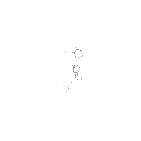 Cl.Clc1ccc(Cn2cc(NCCN3CCCCC3)nn2)cc1Cl